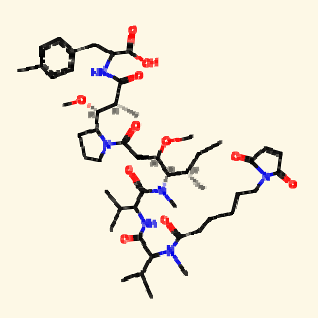 CC[C@H](C)[C@@H]([C@@H](CC(=O)N1CCCC1[C@H](OC)[C@@H](C)C(=O)NC(Cc1ccc(C)cc1)C(=O)O)OC)N(C)C(=O)C(NC(=O)C(C(C)C)N(C)C(=O)CCCCCN1C(=O)C=CC1=O)C(C)C